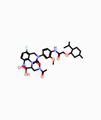 COc1cc(N(Cc2c(F)ccc([N+](=O)[O-])c2N2CCN(C(C)=O)CC2C(=O)O)C(C)=O)ccc1NC(=O)COC1CC(C)CCC1C(C)C